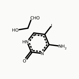 Nc1nc(=O)[nH]cc1I.O=CCO